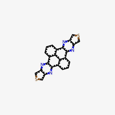 c1cc2c3nc4cscc4nc3c3cccc4c5nc6cscc6nc5c(c1)c2c34